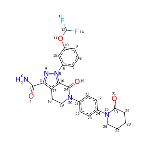 NC(=O)c1nn(-c2cccc(OC(F)F)c2)c2c1CCN(c1ccc(N3CCCCC3=O)cc1)C2=O